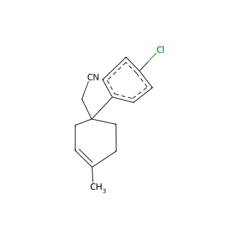 CC1=CCC(CC#N)(c2ccc(Cl)cc2)CC1